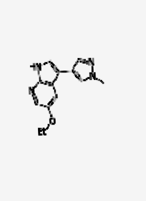 CCOc1cnc2[nH]cc(-c3cnn(C)c3)c2c1